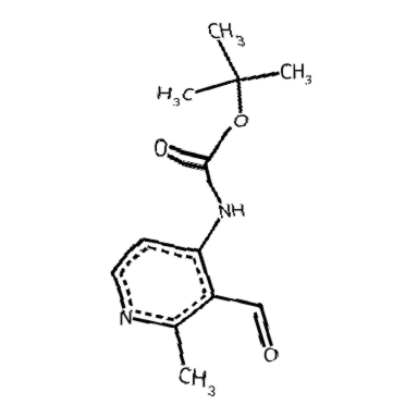 Cc1nccc(NC(=O)OC(C)(C)C)c1C=O